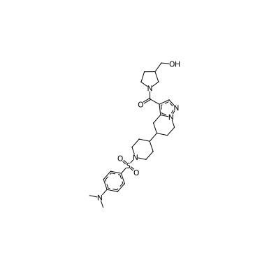 CN(C)c1ccc(S(=O)(=O)N2CCC(C3CCn4ncc(C(=O)N5CCC(CO)C5)c4C3)CC2)cc1